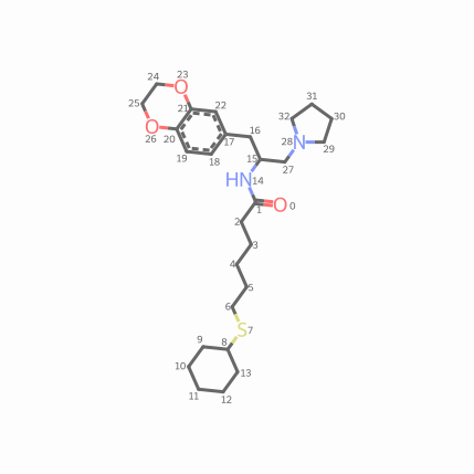 O=C(CCCCCSC1CCCCC1)NC(Cc1ccc2c(c1)OCCO2)CN1CCCC1